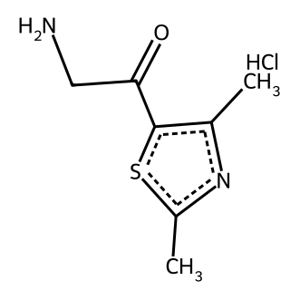 Cc1nc(C)c(C(=O)CN)s1.Cl